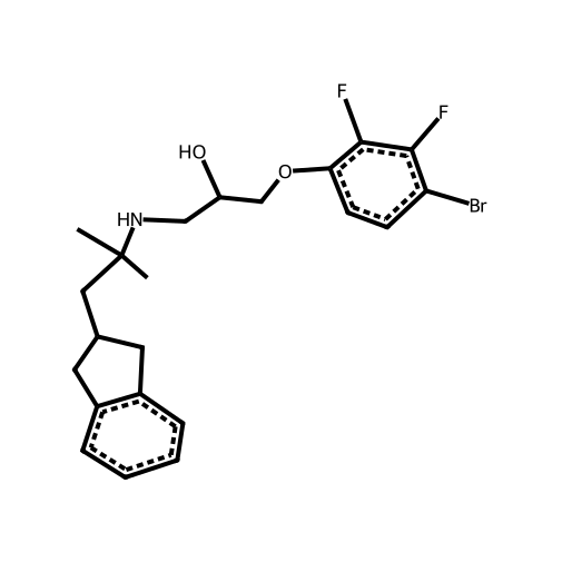 CC(C)(CC1Cc2ccccc2C1)NCC(O)COc1ccc(Br)c(F)c1F